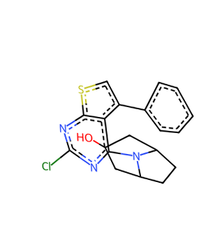 OC1CC2CCC(C1)N2c1nc(Cl)nc2scc(-c3ccccc3)c12